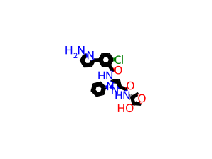 Nc1cccc(-c2ccc(Cl)c(C(=O)Nc3cc(C(=O)N[C@@H]4COC[C@H]4O)nn3-c3ccccc3)c2)n1